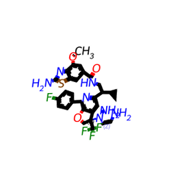 COc1cc(C(=O)NCC(c2cc3c(c(-c4ccc(F)cc4)n2)OC[C@@]3(N(N)/C=C\N)C(F)(F)F)C2CC2)cc2sc(N)nc12